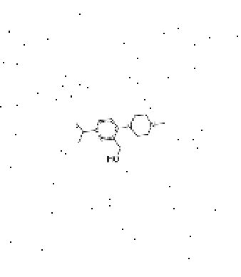 CC(C)c1ccc(N2CCN(C)CC2)c(CO)c1